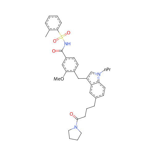 CCCn1cc(Cc2ccc(C(=O)NS(=O)(=O)c3ccccc3C)cc2OC)c2cc(CCCC(=O)N3CCCC3)ccc21